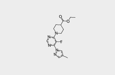 CCOC(=O)C1CCN(c2ncnc(-n3cc(C)cn3)c2F)CC1